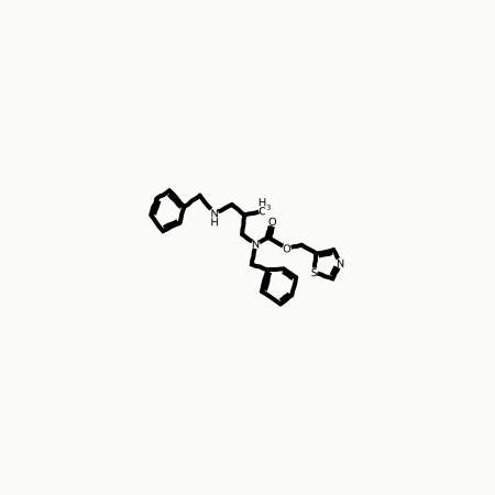 CC(CNCc1ccccc1)CN(Cc1ccccc1)C(=O)OCc1cncs1